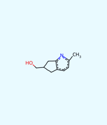 Cc1ccc2c(n1)CC(CO)C2